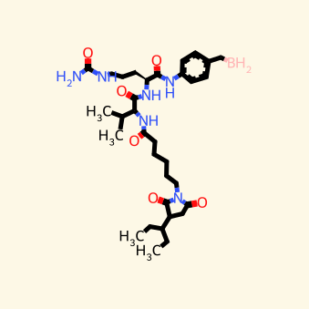 BCc1ccc(NC(=O)[C@H](CCCNC(N)=O)NC(=O)C(NC(=O)CCCCCN2C(=O)CC(C(CC)CC)C2=O)C(C)C)cc1